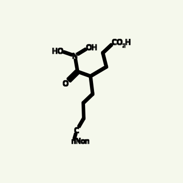 CCCCCCCCCCCCCC(CCC(=O)O)C(=O)N(O)O